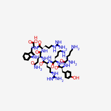 N=C(N)NCCC[C@H](NC(=O)[C@H](CCC(N)=O)NC(=O)[C@H](CCCNC(=N)N)NC(=O)[C@H](CCCCN)NC(=O)[C@H](Cc1ccc(O)cc1)NC(=O)[C@@H](N)CCCCN)C(=O)N[C@@H](Cc1c[nH]c2ccccc12)C(=O)O